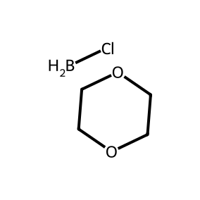 BCl.C1COCCO1